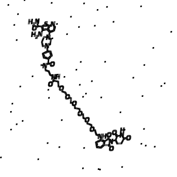 CN(CCCNC(=O)CCOCCOCCOCCOCCOCCOCCNc1cccc2c1C(=O)N(C1CCC(=O)NC1=O)C2=O)C(=O)c1ccc(N2CCCN(c3ccnc4sc(C(N)=O)c(N)c34)CC2)cc1